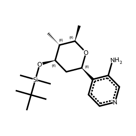 C[C@@H]1[C@@H](C)O[C@@H](c2ccncc2N)C[C@H]1O[Si](C)(C)C(C)(C)C